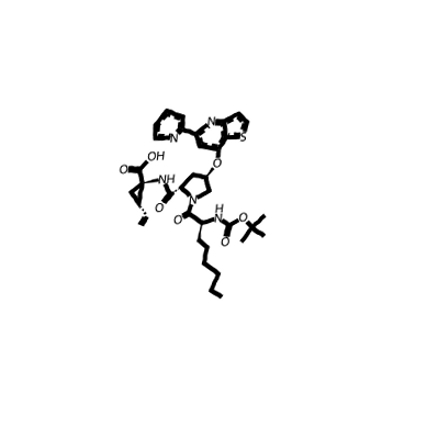 C=C[C@@H]1C[C@]1(NC(=O)[C@@H]1C[C@@H](Oc2cc(-c3ccccn3)nc3ccsc23)CN1C(=O)[C@H](CCCCCC)NC(=O)OC(C)(C)C)C(=O)O